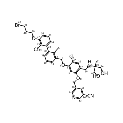 Cc1c(COc2cc(OCc3cncc(C#N)c3)c(C[AsH]C(C)(CO)CO)cc2Cl)cccc1-c1cccc(OCCCBr)c1Cl